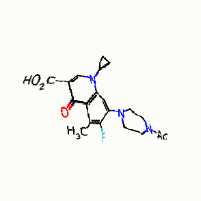 CC(=O)N1CCN(c2cc3c(c(C)c2F)c(=O)c(C(=O)O)cn3C2CC2)CC1